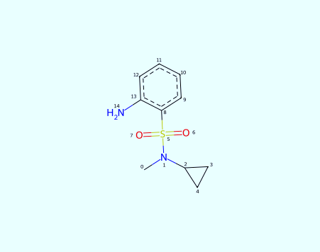 CN(C1CC1)S(=O)(=O)c1ccccc1N